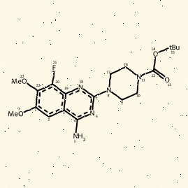 COc1cc2c(N)nc(N3CCN(C(=O)OC(C)(C)C)CC3)nc2c(F)c1OC